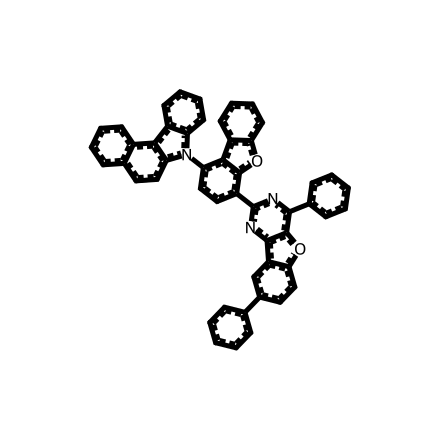 c1ccc(-c2ccc3oc4c(-c5ccccc5)nc(-c5ccc(-n6c7ccccc7c7c8ccccc8ccc76)c6c5oc5ccccc56)nc4c3c2)cc1